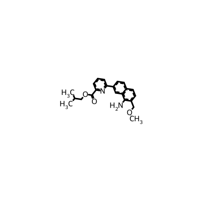 COCc1ccc2ccc(-c3cccc(C(=O)OCC(C)C)n3)cc2c1N